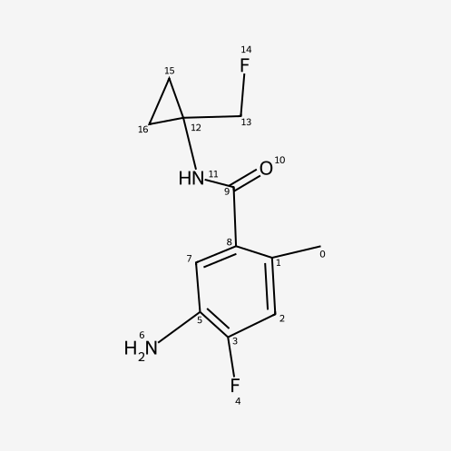 Cc1cc(F)c(N)cc1C(=O)NC1(CF)CC1